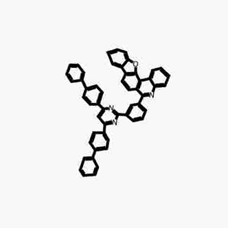 c1ccc(-c2ccc(-c3cc(-c4ccc(-c5ccccc5)cc4)nc(-c4cccc(-c5nc6ccccc6c6c5ccc5c7ccccc7oc56)c4)n3)cc2)cc1